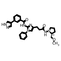 COC[C@@H]1CCCN1NC(=O)CCc1cn(-c2ccccc2)c(NC(=O)c2cccc(-c3cn[nH]c3)c2)n1